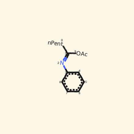 CCCCCC(=Nc1ccccc1)OC(C)=O